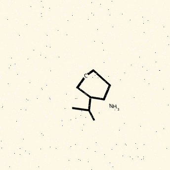 CC(C)C1CCCCC1.N